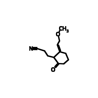 COCC=C1CCCC(=O)C1CCC#N